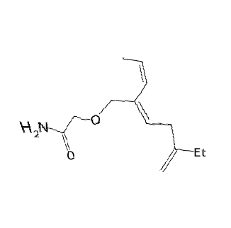 C=C(CC)C/C=C(\C=C/C)COCC(N)=O